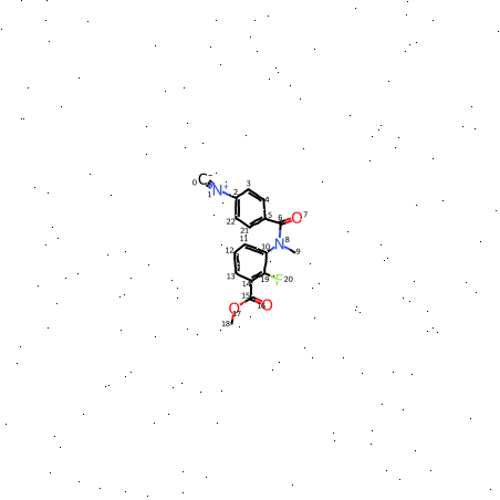 [C-]#[N+]c1ccc(C(=O)N(C)c2cccc(C(=O)OC)c2F)cc1